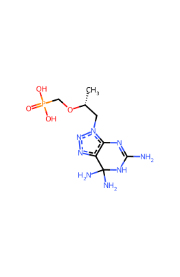 C[C@H](Cn1nnc2c1N=C(N)NC2(N)N)OCP(=O)(O)O